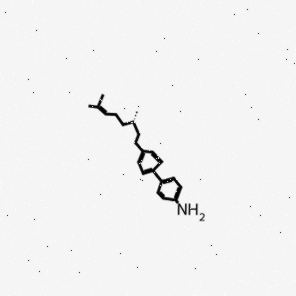 CC(C)=CCC[C@H](C)CCc1ccc(-c2ccc(N)cc2)cc1